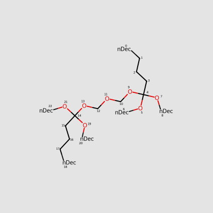 CCCCCCCCCCCCCC(OCCCCCCCCCC)(OCCCCCCCCCC)OCOCOC(CCCCCCCCCCCCC)(OCCCCCCCCCC)OCCCCCCCCCC